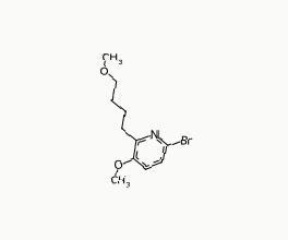 COCCCCc1nc(Br)ccc1OC